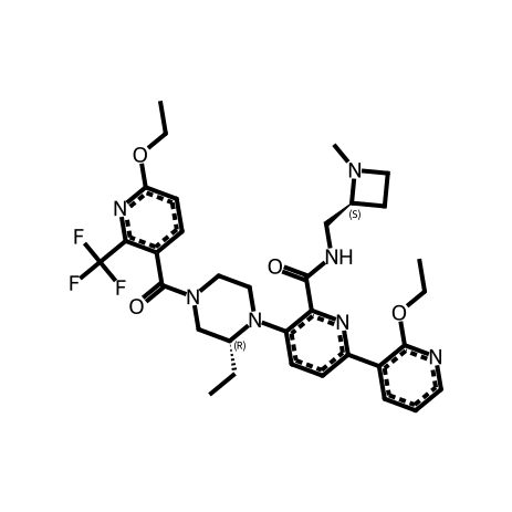 CCOc1ccc(C(=O)N2CCN(c3ccc(-c4cccnc4OCC)nc3C(=O)NC[C@@H]3CCN3C)[C@H](CC)C2)c(C(F)(F)F)n1